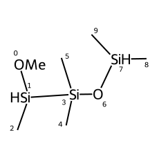 CO[SiH](C)[Si](C)(C)O[SiH](C)C